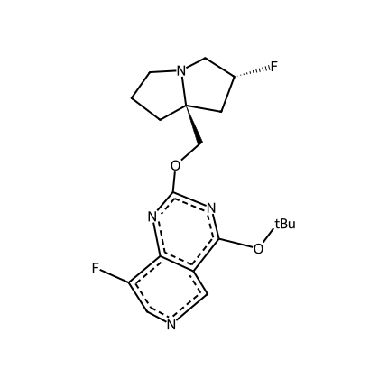 CC(C)(C)Oc1nc(OC[C@@]23CCCN2C[C@H](F)C3)nc2c(F)cncc12